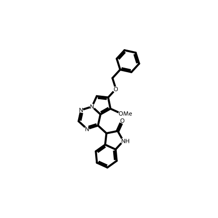 COc1c(OCc2ccccc2)cn2ncnc(C3C(=O)Nc4ccccc43)c12